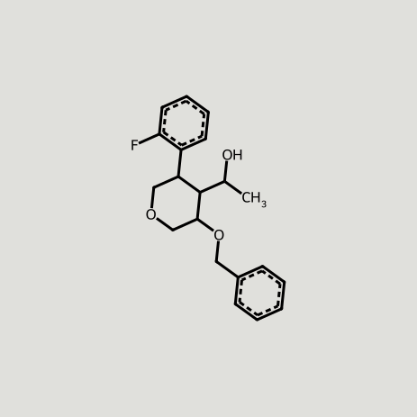 CC(O)C1C(OCc2ccccc2)COCC1c1ccccc1F